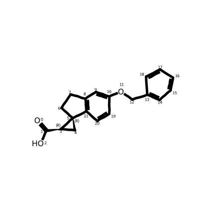 O=C(O)[C@@H]1C[C@]12CCc1cc(OCc3ccccc3)ccc12